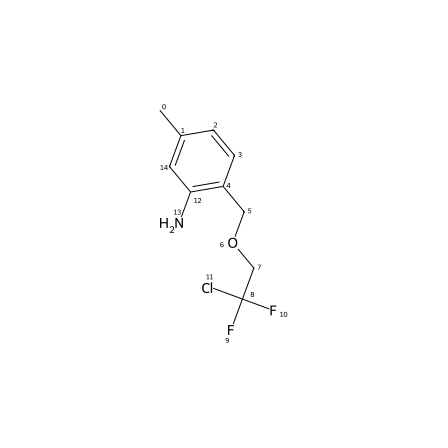 Cc1ccc(COCC(F)(F)Cl)c(N)c1